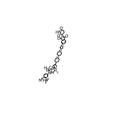 CC(C)(C(=O)Nc1ccc(C#N)c(C(F)(F)F)c1)n1cc(C2CCN(C3CCN(C4CN(c5ccc6c(c5)C(=O)N(C5CCC(=O)NC5=O)C6=O)C4)CC3)CC2)cn1